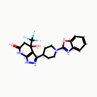 O=C1CC(O)(C(F)(F)F)c2c(C3CCN(c4nc5ccccc5o4)CC3)n[nH]c2N1